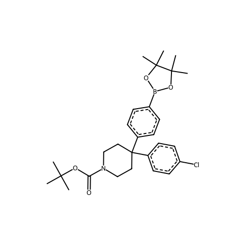 CC(C)(C)OC(=O)N1CCC(c2ccc(Cl)cc2)(c2ccc(B3OC(C)(C)C(C)(C)O3)cc2)CC1